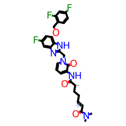 CN(C)C(=O)/C=C/CC[CH]C(=O)Nc1cccn(Cc2nc3cc(F)cc(OCc4ccc(F)cc4F)c3[nH]2)c1=O